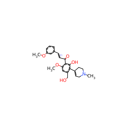 COc1cccc(/C=C/C(=O)c2c(OC)cc(CO)c(C3=CCN(C)CC3)c2O)c1